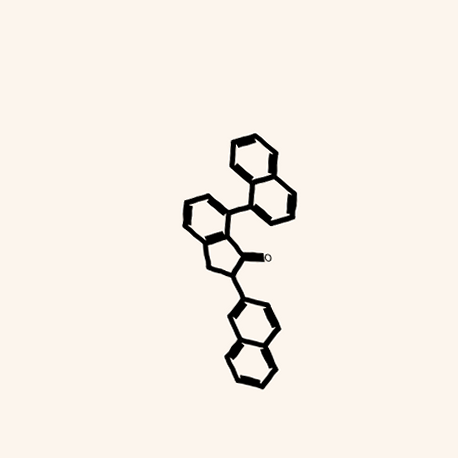 O=C1c2c(cccc2-c2cccc3ccccc23)CC1c1ccc2ccccc2c1